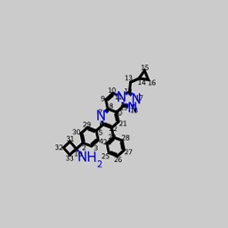 NC1(c2ccc(-c3nc4ccn5c(CC6CC6)nnc5c4cc3-c3ccccc3)cc2)CCC1